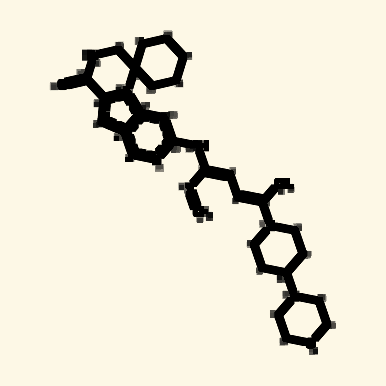 C=N/C(=C\C=C(/C)N1CCC(N2CCOCC2)CC1)Nc1ncc2cc3n(c2n1)C1(CCCCC1)CNC3=O